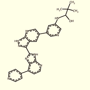 CC(C)(C)C(O)Nc1cncc(-c2cnc3[nH]nc(-c4nc5c(-c6ccncc6)ccnc5[nH]4)c3c2)c1